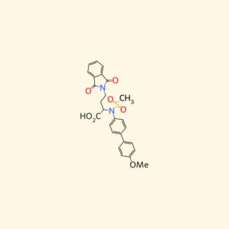 COc1ccc(-c2ccc(N(C(CCN3C(=O)c4ccccc4C3=O)C(=O)O)S(C)(=O)=O)cc2)cc1